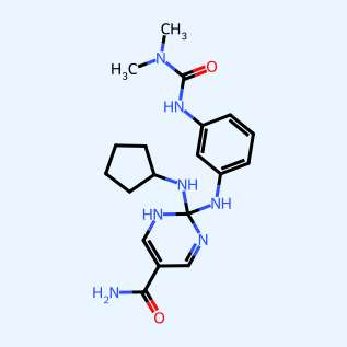 CN(C)C(=O)Nc1cccc(NC2(NC3CCCC3)N=CC(C(N)=O)=CN2)c1